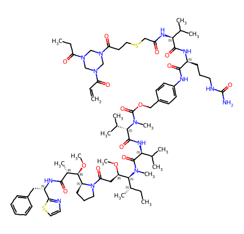 C=CC(=O)N1CN(C(=O)CC)CN(C(=O)CCSCC(=O)N[C@H](C(=O)N[C@@H](CCCNC(N)=O)C(=O)Nc2ccc(COC(=O)N(C)[C@H](C(=O)N[C@H](C(=O)N(C)[C@@H]([C@@H](C)CC)[C@@H](CC(=O)N3CCC[C@H]3[C@H](OC)[C@@H](C)C(=O)N[C@@H](Cc3ccccc3)c3nccs3)OC)C(C)C)C(C)C)cc2)C(C)C)C1